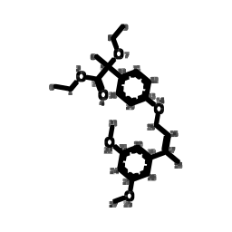 CCOC(=O)C(C)(OCC)c1ccc(OCC=C(C)c2cc(OC)cc(OC)c2)cc1